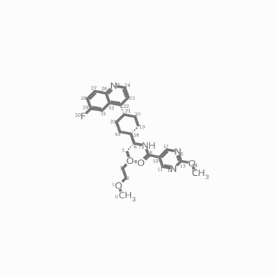 COCCOC[C@@H](NC(=O)c1cnc(OC)nc1)[C@H]1CC[C@@H](c2ccnc3ccc(F)cc32)CC1